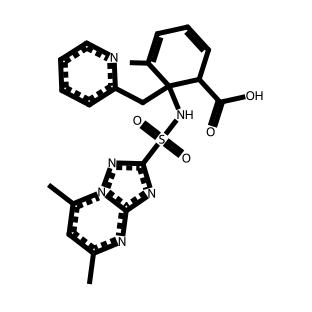 CC1=CC=CC(C(=O)O)C1(Cc1ccccn1)NS(=O)(=O)c1nc2nc(C)cc(C)n2n1